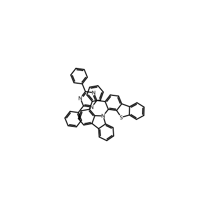 c1ccc(-c2nc(-c3ccccc3)nc(-c3ccc4c(sc5ccccc54)c3-n3c4ccccc4c4cccc(-c5ccccc5)c43)n2)cc1